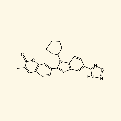 Cc1cc2ccc(-c3nc4cc(-c5nnn[nH]5)ccc4n3C3CCCCC3)cc2oc1=O